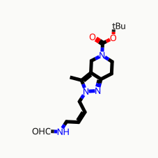 Cc1c2c(nn1C/C=C\CNC=O)CCN(C(=O)OC(C)(C)C)C2